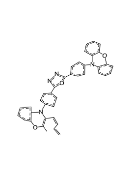 C=C/C=C\C1=C(C)Oc2ccccc2N1c1ccc(-c2nnc(-c3ccc(N4c5ccccc5Oc5ccccc54)cc3)o2)cc1